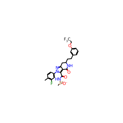 Cc1ccc(-n2nc3c(c2C(=O)N[S+](C)[O-])C(=O)NC(CCc2cccc(OCC(F)(F)F)c2)C3)cc1F